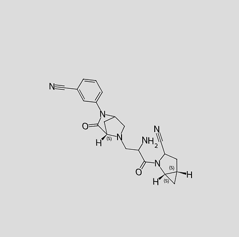 N#Cc1cccc(N2C(=O)[C@@H]3CC2CN3CC(N)C(=O)N2C(C#N)C[C@@H]3C[C@@H]32)c1